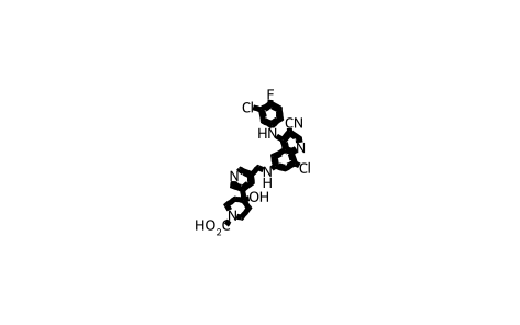 N#Cc1cnc2c(Cl)cc(NCc3cncc(C4(O)CCN(C(=O)O)CC4)c3)cc2c1Nc1ccc(F)c(Cl)c1